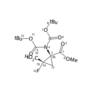 COC(=O)[C@]1(N(C(=O)OC(C)(C)C)C(=O)OC(C)(C)C)C[C@@]1(F)C(=O)O